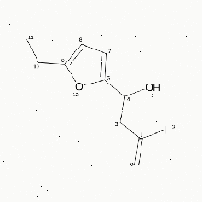 C=C(I)CC(O)c1ccc(CC)o1